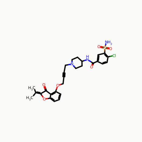 CC(C)=C1Oc2cccc(OCC#CCN3CCC(NC(=O)c4ccc(Cl)c(S(N)(=O)=O)c4)CC3)c2C1=O